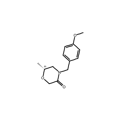 COc1ccc(CN2C[C@@H](C)OCC2=O)cc1